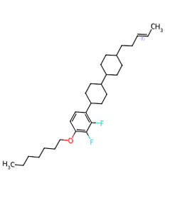 C/C=C/CCC1CCC(C2CCC(c3ccc(OCCCCCCC)c(F)c3F)CC2)CC1